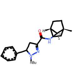 CCCCN1N=C(C(=O)N[C@@]2(C)[C@H]3CC[C@]2(C)CC3)CC1c1ccccc1